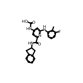 Cc1c(F)cccc1Nc1cc(NC(=O)O)cc(C(=O)NC2Cc3ccccc3C2)n1